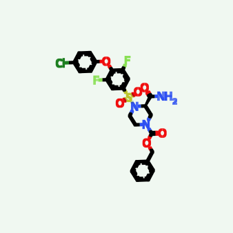 NC(=O)[C@H]1CN(C(=O)OCc2ccccc2)CCN1S(=O)(=O)c1cc(F)c(Oc2ccc(Cl)cc2)c(F)c1